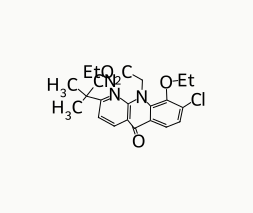 CCOC(=O)Cn1c2nc(C(C)(C)C#N)ccc2c(=O)c2ccc(Cl)c(OCC)c21